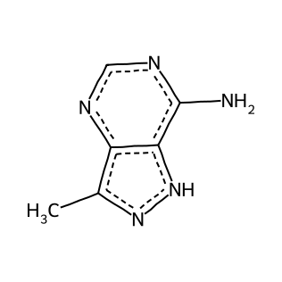 Cc1n[nH]c2c(N)ncnc12